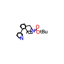 CC(C)(C)OC(=O)N1CCC2(C)c3c(cccc3-c3cccnc3)CC1C2(C)C